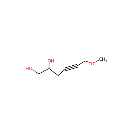 COCC#CCC(O)CO